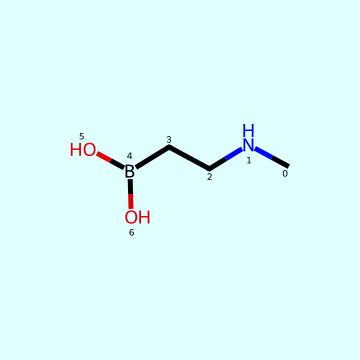 CNCCB(O)O